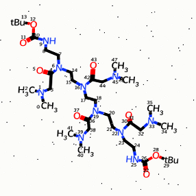 CN(C)CC(=O)N(CCNC(=O)OC(C)(C)C)CCN(CCN(CCN(CCNC(=O)OC(C)(C)C)C(=O)CN(C)C)C(=O)CN(C)C)C(=O)CN(C)C